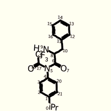 CC(C)c1ccc(N(C(=O)C(N)Cc2ccccc2)C(=O)C(F)(F)F)cc1